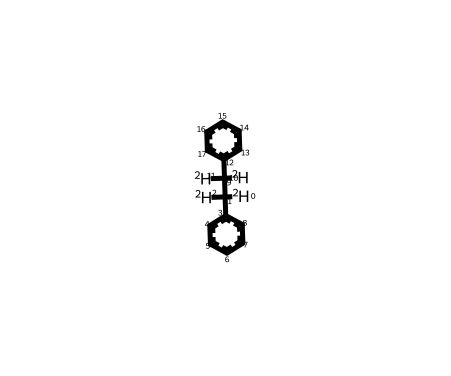 [2H]C([2H])(c1ccccc1)C([2H])([2H])c1ccccc1